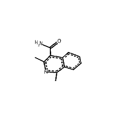 Cc1nc(C)c2ccccc2c1C(N)=O